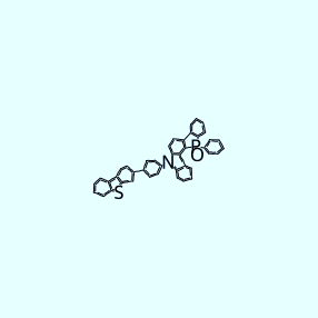 O=P1(c2ccccc2)c2ccccc2-c2ccc3c(c21)c1ccccc1n3-c1ccc(-c2ccc3c(c2)sc2ccccc23)cc1